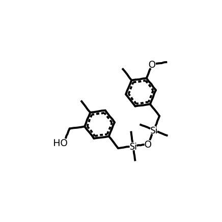 COc1cc(C[Si](C)(C)O[Si](C)(C)Cc2ccc(C)c(CO)c2)ccc1C